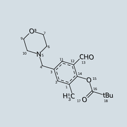 Cc1cc(CN2CCOCC2)cc(C=O)c1OC(=O)C(C)(C)C